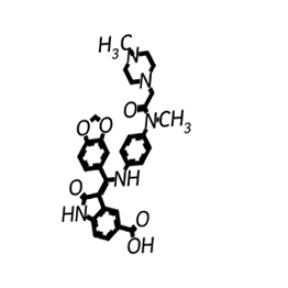 CN1CCN(CC(=O)N(C)c2ccc(NC(=C3C(=O)Nc4ccc(C(=O)O)cc43)c3ccc4c(c3)OCO4)cc2)CC1